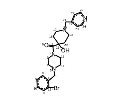 O=C(N1CCN(Cc2ccccc2Br)CC1)C1(O)CCN(Cc2ccncc2)CC1